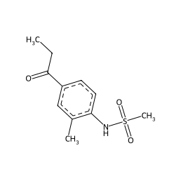 CCC(=O)c1ccc(NS(C)(=O)=O)c(C)c1